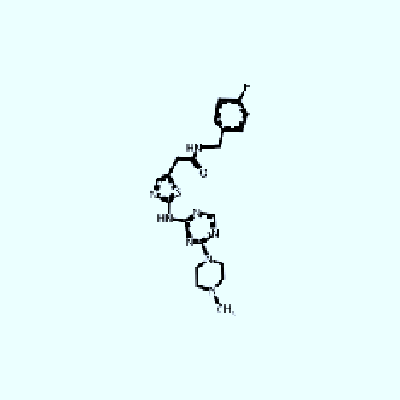 CN1CCN(c2ncnc(Nc3ncc(CC(=O)NCc4ccc(F)cc4)s3)n2)CC1